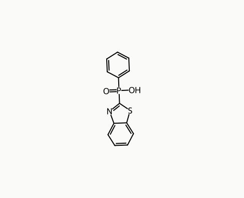 O=P(O)(c1ccccc1)c1nc2ccccc2s1